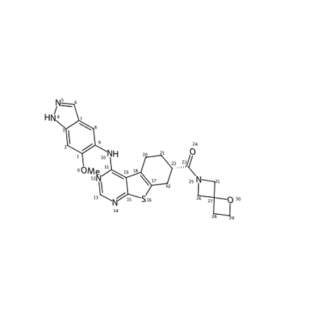 COc1cc2[nH]ncc2cc1Nc1ncnc2sc3c(c12)CC[C@H](C(=O)N1CC2(CCO2)C1)C3